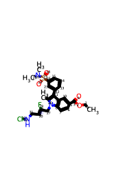 CCOC(=O)c1ccc2c(c1)c(-c1cccc(S(=O)(=O)N(C)C)c1)c(C)n2C/C(F)=C/CNCl